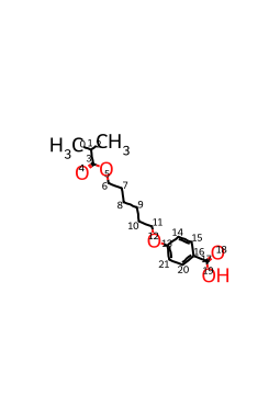 CC(C)C(=O)OCCCCCCOc1ccc(C(=O)O)cc1